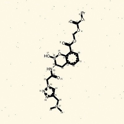 CC(C)OC(=O)OCOC(=O)c1cccc2c1OB(O)[C@@H](NC(=O)Cn1cc(CN(C)C)nn1)C2